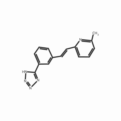 Cc1cccc(/C=C/c2cccc(-c3nnn[nH]3)c2)n1